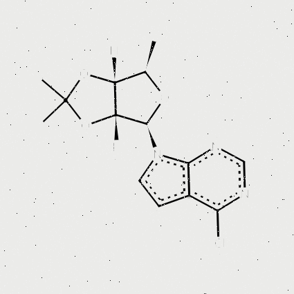 C[C@H]1O[C@@H](n2ccc3c(Cl)ncnc32)[C@@H]2OC(C)(C)O[C@@H]21